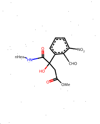 CCCCCCNC(=O)C(O)(CC(=O)OC)c1cccc([N+](=O)[O-])c1C=O